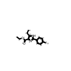 CCOC(=O)c1nc(-c2ccc(F)cc2)[nH]c1CC